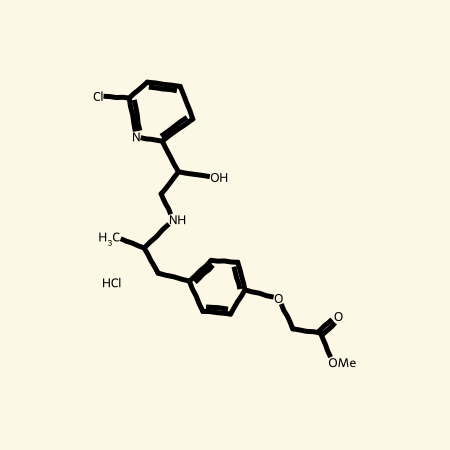 COC(=O)COc1ccc(CC(C)NCC(O)c2cccc(Cl)n2)cc1.Cl